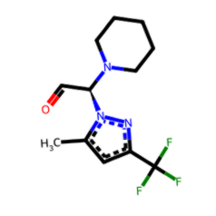 Cc1cc(C(F)(F)F)nn1[C@@H](C=O)N1CCCCC1